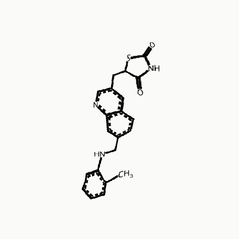 Cc1ccccc1NCc1ccc2cc(CC3SC(=O)NC3=O)cnc2c1